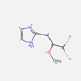 O=COC(Cc1ncc[nH]1)C(F)F